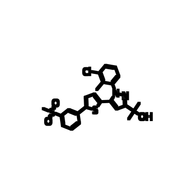 Cc1c(Cl)cccc1-n1nc(C(C)(C)O)cc1-c1ccc(-c2cccc(S(C)(=O)=O)c2)s1